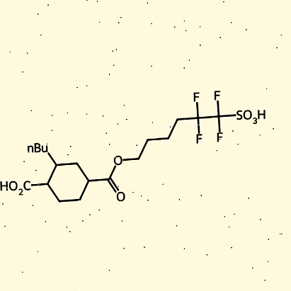 CCCCC1CC(C(=O)OCCCCC(F)(F)C(F)(F)S(=O)(=O)O)CCC1C(=O)O